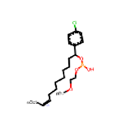 CCCCCCCC/C=C\CCCCCCCC(OP(O)OCCOCCCC)c1ccc(Cl)cc1